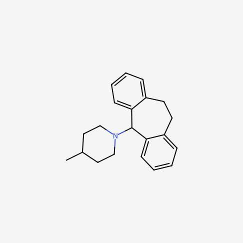 CC1CCN(C2c3ccccc3CCc3ccccc32)CC1